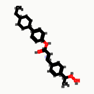 CCC1CCC(c2ccc(OC(=O)/C=C/c3ccc(C(C)OO)cc3)cc2)CC1